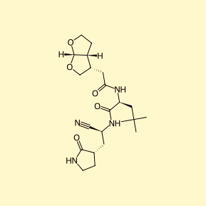 CC(C)(C)C[C@H](NC(=O)C[C@@H]1CO[C@@H]2OCC[C@H]12)C(=O)N[C@H](C#N)C[C@@H]1CCNC1=O